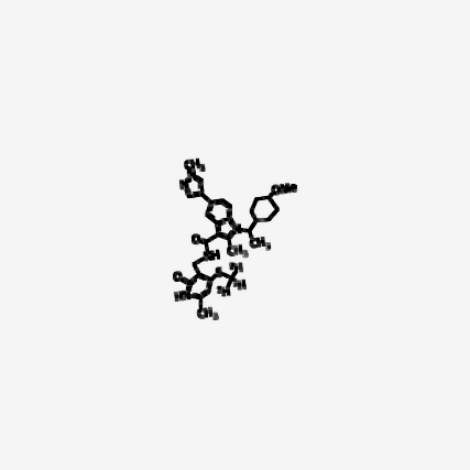 [2H]C([2H])([2H])Sc1cc(C)[nH]c(=O)c1CNC(=O)c1c(C)n(C(C)C2CCC(OC)CC2)c2ccc(-c3cnn(C)c3)cc12